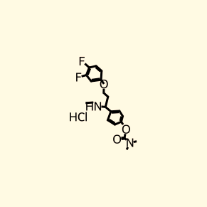 CCNC(CCOc1ccc(F)c(F)c1)c1ccc(OC(=O)N(C)C)cc1.Cl